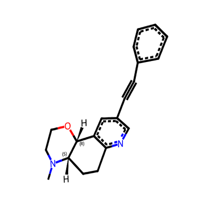 CN1CCO[C@@H]2c3cc(C#Cc4ccccc4)cnc3CC[C@@H]21